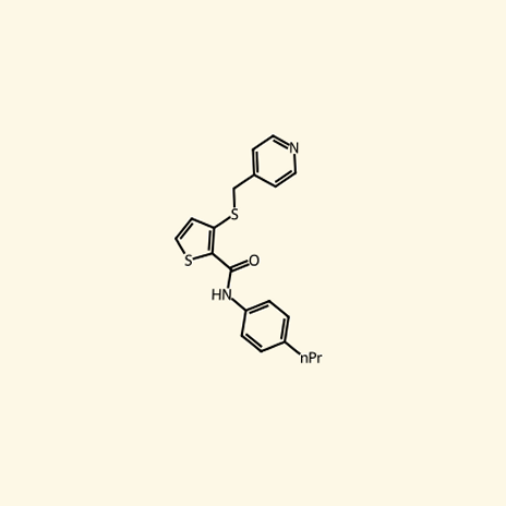 CCCc1ccc(NC(=O)c2sccc2SCc2ccncc2)cc1